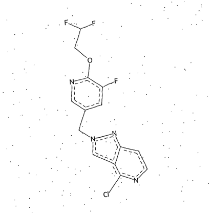 Fc1cc(Cn2cc3c(Cl)nccc3n2)cnc1OCC(F)F